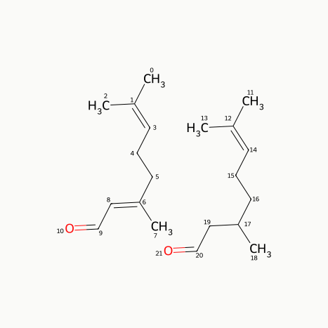 CC(C)=CCCC(C)=CC=O.CC(C)=CCCC(C)CC=O